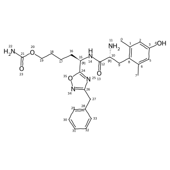 Cc1cc(O)cc(C)c1C[C@@H](N)C(=O)N[C@H](CCCCOC(N)=O)c1nc(Cc2ccccc2)no1